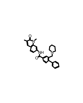 Cc1cc2ccc(NC(=O)c3ccc(-c4ccccc4)c(CN4CCCCC4)c3)cc2n(C)c1=O